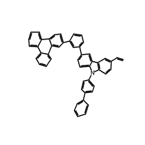 C=Cc1ccc2c(c1)c1cc(-c3cccc(-c4ccc5c6ccccc6c6ccccc6c5c4)c3)ccc1n2-c1ccc(-c2ccccc2)cc1